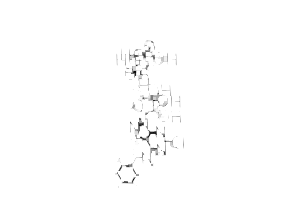 CN(Cc1ccccc1)c1nc(Cl)nc2c1cnn2[C@@H]1O[C@H](COP(=O)(O)CP(=O)(O)O)C(O)(O)[C@H]1O